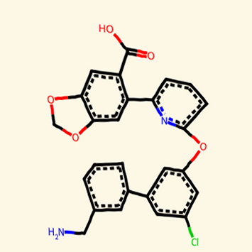 NCc1cccc(-c2cc(Cl)cc(Oc3cccc(-c4cc5c(cc4C(=O)O)OCO5)n3)c2)c1